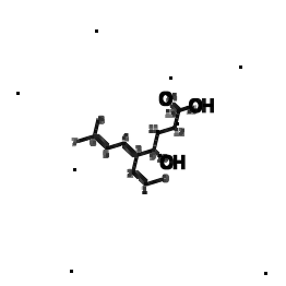 C/C=C\C(=C/C=C(C)C)C(O)CCC(=O)O